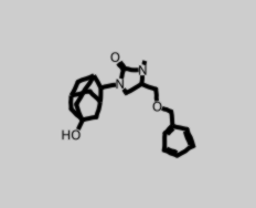 CN1C(=O)N(C2C3CC4CC2CC(O)(C4)C3)CC1COCc1ccccc1